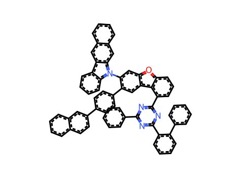 c1ccc(-c2nc(-c3ccccc3-c3ccccc3)nc(-c3cccc4oc5cc(-n6c7ccccc7c7cc8ccccc8cc76)c(-c6ccc(-c7ccc8ccccc8c7)cc6)cc5c34)n2)cc1